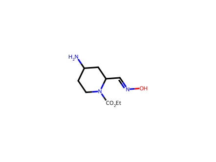 CCOC(=O)N1CCC(N)CC1C=NO